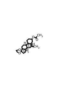 C=C1C[C@H]2C3CCC4(OCCO4)[C@@]3(C)CC[C@@H]2[C@@]2(C)CC[C@H](OC(C)=O)C[C@H]12